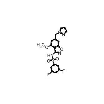 COc1cc(Cn2cccn2)cc2onc(NS(=O)(=O)c3cc(F)cc(F)c3)c12